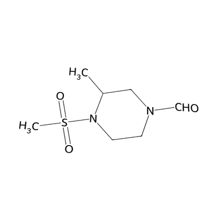 CC1CN(C=O)CCN1S(C)(=O)=O